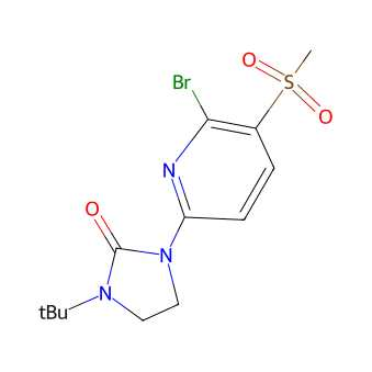 CC(C)(C)N1CCN(c2ccc(S(C)(=O)=O)c(Br)n2)C1=O